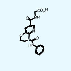 O=C(O)CNC(=O)c1cnc2c(c1)OCCN2C(=O)Nc1ccccc1